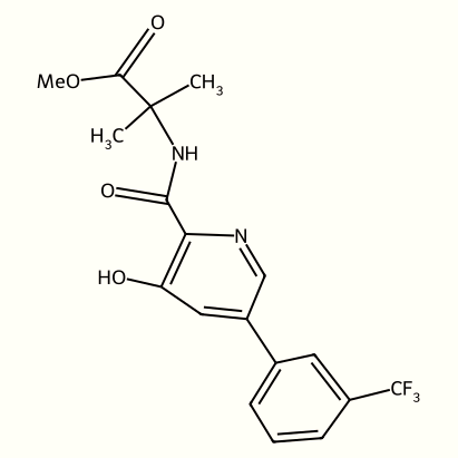 COC(=O)C(C)(C)NC(=O)c1ncc(-c2cccc(C(F)(F)F)c2)cc1O